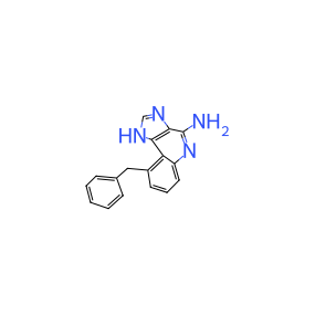 Nc1nc2cccc(Cc3ccccc3)c2c2[nH]cnc12